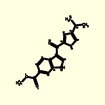 COC(=O)c1ccc2c(C(=O)c3nc(C(C)C)cs3)c[nH]c2c1